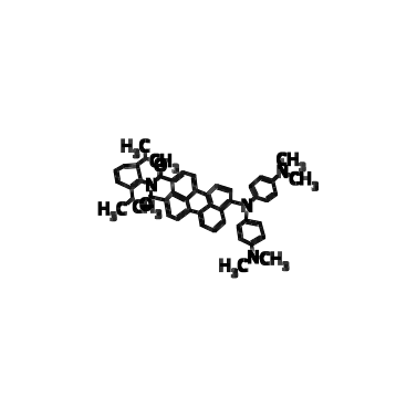 CC(C)c1cccc(C(C)C)c1N1C(=O)c2ccc3c4cccc5c(N(c6ccc(N(C)C)cc6)c6ccc(N(C)C)cc6)ccc(c6ccc(c2c36)C1=O)c54